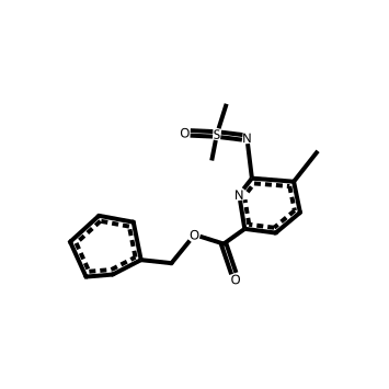 Cc1ccc(C(=O)OCc2ccccc2)nc1N=S(C)(C)=O